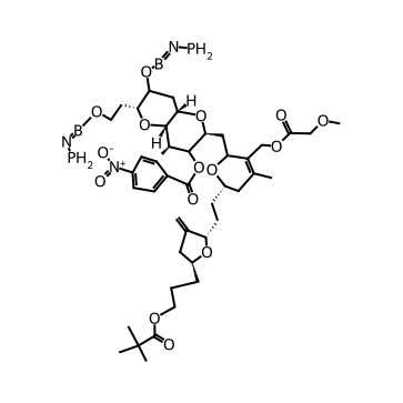 C=C1C[C@H](CCCOC(=O)C(C)(C)C)O[C@H]1CC[C@H]1CC(C)=C(COC(=O)COC)C(C[C@@H]2O[C@H]3CC(OB=NP)[C@@H](CCOB=NP)O[C@H]3[C@H](C)C2OC(=O)c2ccc([N+](=O)[O-])cc2)O1